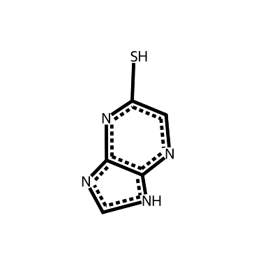 Sc1cnc2[nH]cnc2n1